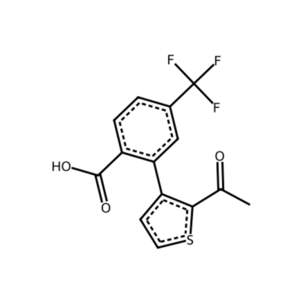 CC(=O)c1sccc1-c1cc(C(F)(F)F)ccc1C(=O)O